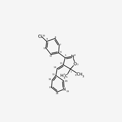 CC1(C)ON=C(c2ccc(Cl)cc2)/C1=C/c1cccnc1